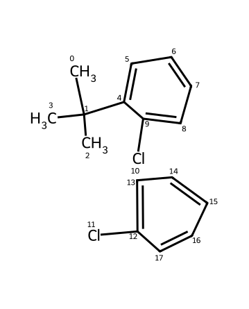 CC(C)(C)c1ccccc1Cl.Clc1ccccc1